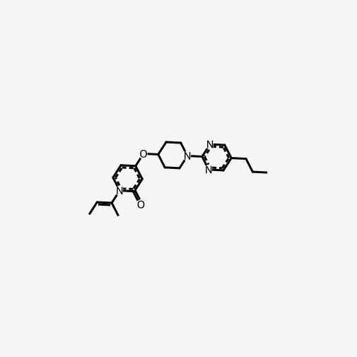 C/C=C(\C)n1ccc(OC2CCN(c3ncc(CCC)cn3)CC2)cc1=O